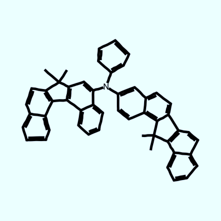 CC1(C)c2ccc3ccccc3c2-c2c1cc(N(c1ccccc1)c1ccc3c4c(ccc3c1)-c1ccc3ccccc3c1C4(C)C)c1ccccc21